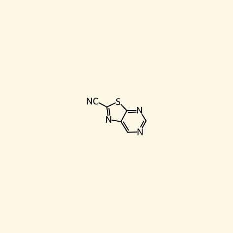 N#Cc1nc2cncnc2s1